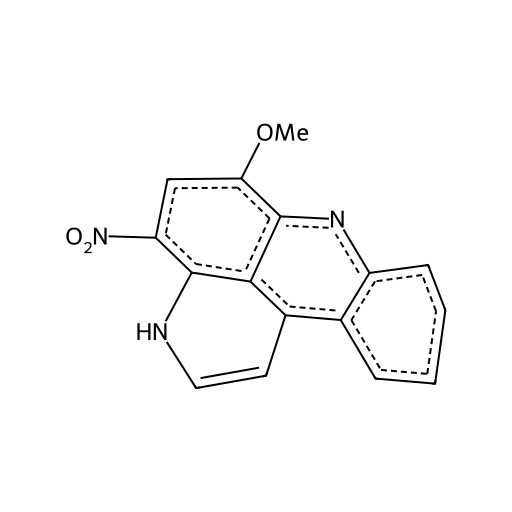 COc1cc([N+](=O)[O-])c2c3c(c4ccccc4nc13)C=CN2